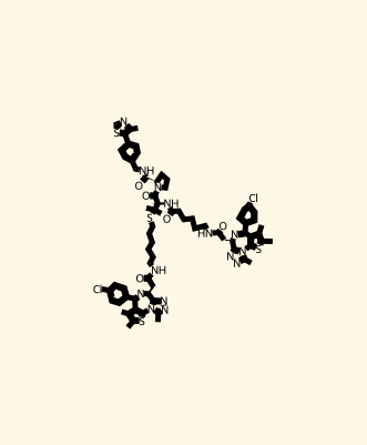 Cc1ncsc1-c1ccc(CNC(=O)[C@@H]2CCCN2C(=O)[C@@H](NC(=O)CCCCCNC(=O)C[C@@H]2N=C(c3ccc(Cl)cc3)c3c(sc(C)c3C)-n3c(C)nnc32)C(C)(C)SCCCCCCNC(=O)C[C@@H]2N=C(c3ccc(Cl)cc3)c3c(sc(C)c3C)-n3c(C)nnc32)cc1